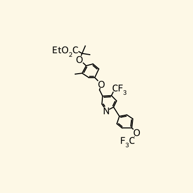 CCOC(=O)C(C)(C)Oc1ccc(OCc2cnc(-c3ccc(OC(F)(F)F)cc3)cc2C(F)(F)F)cc1C